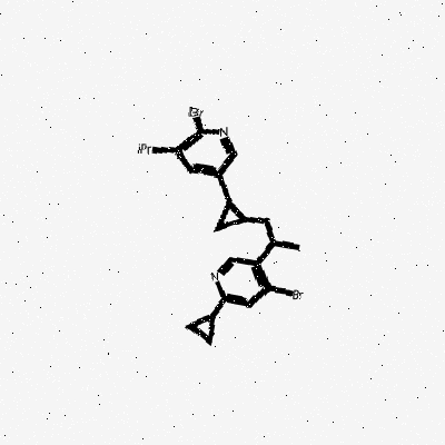 CC(C)c1cc(C2CC2CC(C)c2cnc(C3CC3)cc2Br)cnc1Br